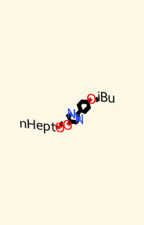 CCCCCCCOCOc1cnc(-c2ccc(OCC(C)CC)cc2)nc1